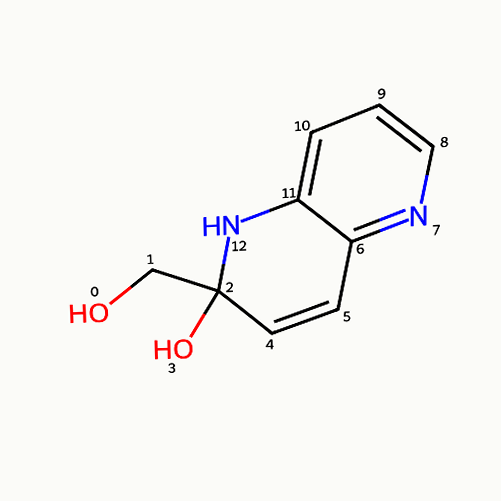 OCC1(O)C=Cc2ncccc2N1